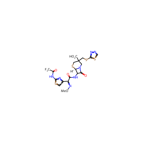 CON=C(C(=O)NC1C(=O)N2CC(CSc3nncs3)(C(=O)O)CS[C@H]12)c1csc(NC(=O)C(F)(F)F)n1